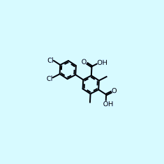 Cc1cc(-c2ccc(Cl)c(Cl)c2)c(C(=O)O)c(C)c1C(=O)O